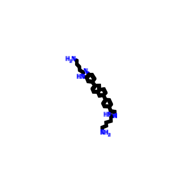 NCCCCc1ncc(-c2ccc(-c3ccc4cc(-c5ccc6nc(CCCCN)[nH]c6c5)ccc4c3)cc2)[nH]1